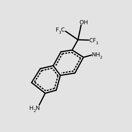 Nc1ccc2cc(C(O)(C(F)(F)F)C(F)(F)F)c(N)cc2c1